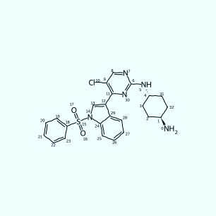 N[C@H]1CC[C@H](Nc2ncc(Cl)c(-c3cn(S(=O)(=O)c4ccccc4)c4ccccc34)n2)CC1